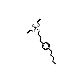 C=COP(=O)(OC=C)OCCCc1ccc(CCCCC)cc1